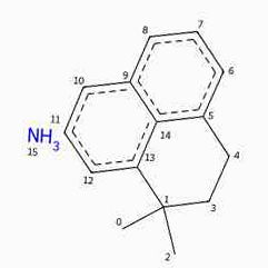 CC1(C)CCc2cccc3cccc1c23.N